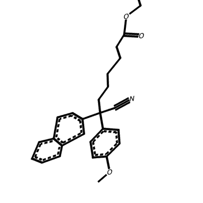 CCOC(=O)CCCCCC(C#N)(c1ccc(OC)cc1)c1ccc2ccccc2c1